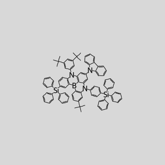 CC(C)(C)c1cc(N2c3ccc([Si](c4ccccc4)(c4ccccc4)c4ccccc4)cc3B3c4ccc(C(C)(C)C)cc4N(c4ccc([Si](c5ccccc5)(c5ccccc5)c5ccccc5)cc4)c4cc(-n5c6ccccc6c6ccccc65)cc2c43)cc(C(C)(C)C)c1